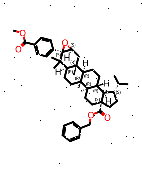 COC(=O)c1ccc([C@]23O[C@H]2C[C@]2(C)[C@H]4CC[C@@H]5[C@H]6[C@H](C(C)C)CC[C@]6(C(=O)OCc6ccccc6)CC[C@@]5(C)[C@]4(C)CC[C@H]2C3(C)C)cc1